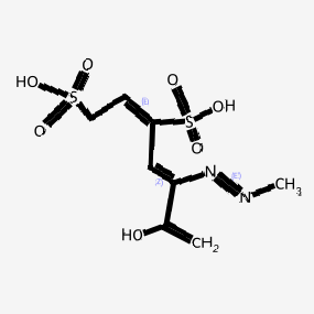 C=C(O)C(=C/C(=C\CS(=O)(=O)O)S(=O)(=O)O)/N=N/C